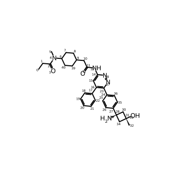 CCC(=O)N(C)C1CCC(CC(=O)Nc2cc(-c3ccccc3)c(-c3ccc([C@]4(N)C[C@](C)(O)C4)cc3)nn2)CC1